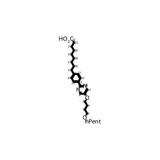 CCCCCOCCCCOc1cnc(-c2ccc(CCCCCCCCC(=O)O)cc2)nc1